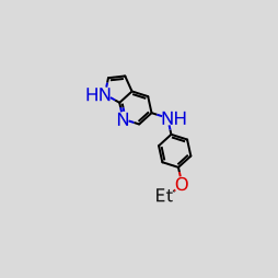 CCOc1ccc(Nc2cnc3[nH]ccc3c2)cc1